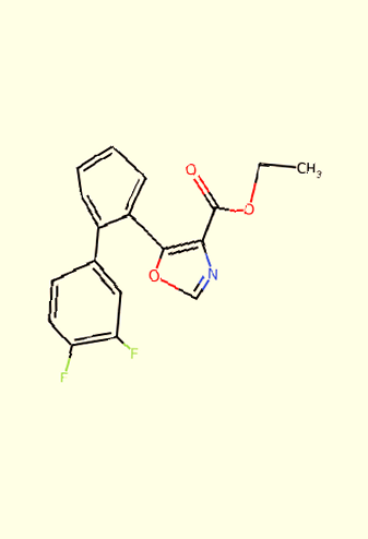 CCOC(=O)c1ncoc1-c1ccccc1-c1ccc(F)c(F)c1